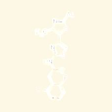 CC(=O)c1nc(C)c(-c2csc(NC(=O)Cc3c(F)cccc3F)n2)s1